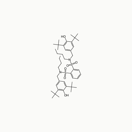 CCCCN(Cc1cc(C(C)(C)C)c(O)c(C(C)(C)C)c1)S(=O)(=O)c1ccccc1S(=O)(=O)N(CCCC)Cc1cc(C(C)(C)C)c(O)c(C(C)(C)C)c1